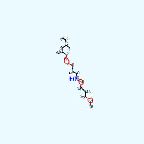 CCC(C)CC(C)COCCCNOCCCOC